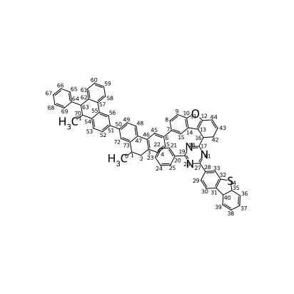 CC1Cc2ccc(-c3ccc4oc5c(c4c3)C(c3nc(-c4ccccc4)nc(-c4ccc6c(c4)SC4C=CC=CC64)n3)CC=C5)cc2-c2ccc(-c3ccc4c(c3)-c3ccccc3C(c3ccccc3)C4C)cc21